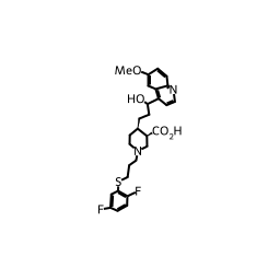 COc1ccc2nccc(C(O)CC[C@@H]3CCN(CCCSc4cc(F)ccc4F)C[C@@H]3C(=O)O)c2c1